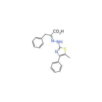 Cc1sc(NN=C(Cc2ccccc2)C(=O)O)nc1-c1ccccc1